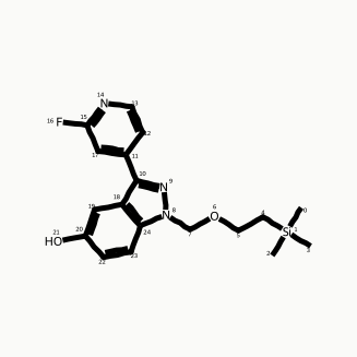 C[Si](C)(C)CCOCn1nc(-c2ccnc(F)c2)c2cc(O)ccc21